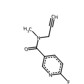 C#CCN(C)C(=O)c1ccc(F)nc1